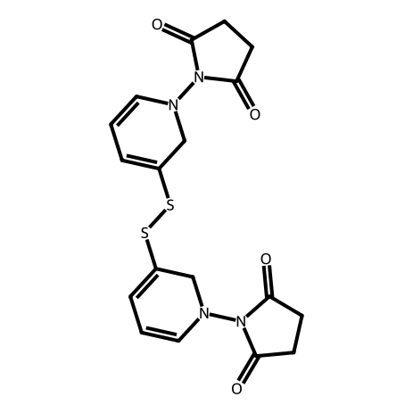 O=C1CCC(=O)N1N1C=CC=C(SSC2=CC=CN(N3C(=O)CCC3=O)C2)C1